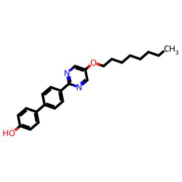 CCCCCCCCOc1cnc(-c2ccc(-c3ccc(O)cc3)cc2)nc1